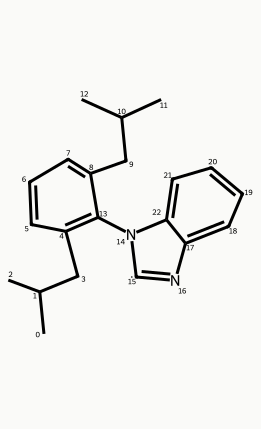 CC(C)Cc1cccc(CC(C)C)c1-n1[c]nc2ccccc21